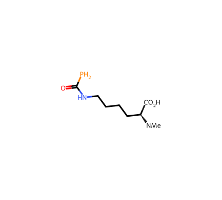 CN[C@@H](CCCCNC(=O)P)C(=O)O